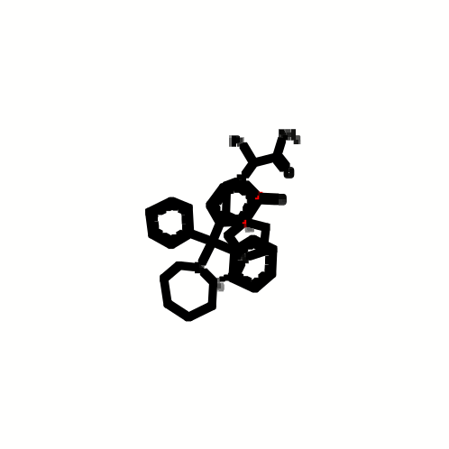 CC(C)C(C(N)=O)N1CC[C@]2(CCN(C[C@@H]3CCCCCN3C(c3ccccc3)(c3ccccc3)c3ccccc3)C2)C1=O